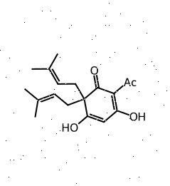 CC(=O)C1=C(O)C=C(O)C(CC=C(C)C)(CC=C(C)C)C1=O